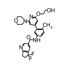 Cc1ccc(NC(=O)c2cnc3c(c2)C(F)(F)CC3)cc1-c1cc(OCCO)nc(N2CCOCC2)c1